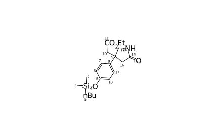 CCCC[Si](C)(C)Oc1ccc(C2(CC(=O)OCC)CNC(=O)C2)cc1